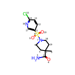 CC1(C(N)=O)CCN(S(=O)(=O)c2ccc(Cl)nc2)CC1